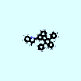 Cc1cc(-c2cc3c4c(cccc4c2)-c2c-3c(-c3ccccc3)c3ccccc3c2-c2ccccc2)nc2ccccc12